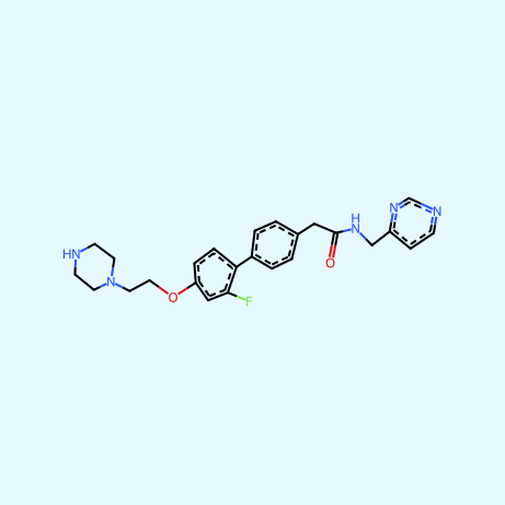 O=C(Cc1ccc(-c2ccc(OCCN3CCNCC3)cc2F)cc1)NCc1ccncn1